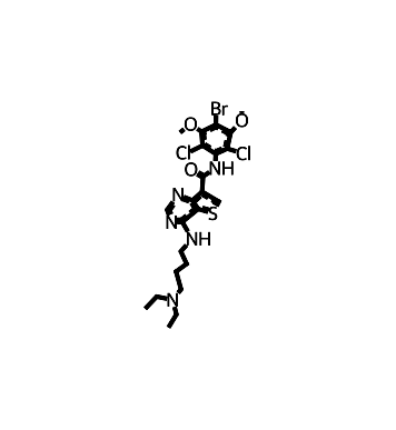 CCN(CC)CCCCNc1ncnc2c(C(=O)Nc3c(Cl)c(OC)c(Br)c(OC)c3Cl)csc12